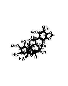 C=CCN1[C@@H]2c3c(cc(C)c(OC)c3O)C[C@H]1[C@H](C#N)N1C2[C@@H]2SCC(N)C(=O)OC[C@H]1c1c3c(c(C)c(OC(C)=O)c12)OCO3